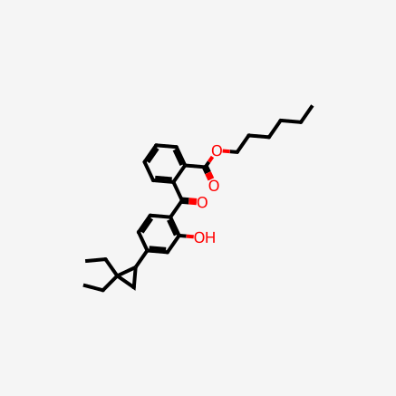 CCCCCCOC(=O)c1ccccc1C(=O)c1ccc(C2CC2(CC)CC)cc1O